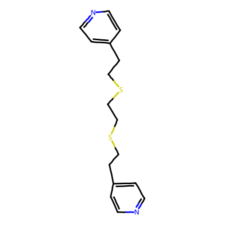 c1cc(CCSCCSCCc2ccncc2)ccn1